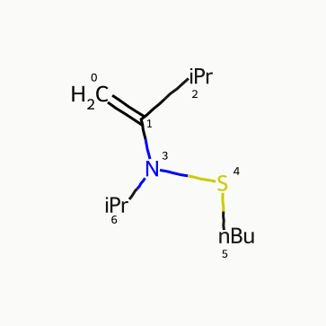 C=C(C(C)C)N(SCCCC)C(C)C